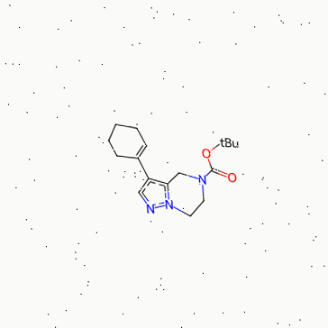 CC(C)(C)OC(=O)N1CCn2ncc(C3=CCCCC3)c2C1